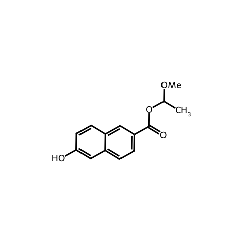 COC(C)OC(=O)c1ccc2cc(O)ccc2c1